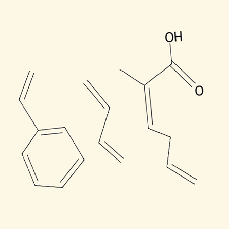 C=CC=C.C=CCC=C(C)C(=O)O.C=Cc1ccccc1